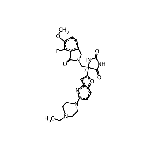 CCN1CCN(c2ccc3oc([C@]4(CN5Cc6ccc(OC)c(F)c6C5=O)NC(=O)NC4=O)cc3n2)CC1